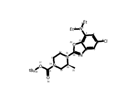 CCN(CC)c1cc(Cl)cc2nc(N3CCN(C(=O)OC(C)(C)C)C[C@@H]3C)oc12